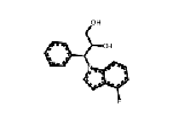 OC[C@@H](O)[C@H](c1ccccc1)n1ccc2c(F)cccc21